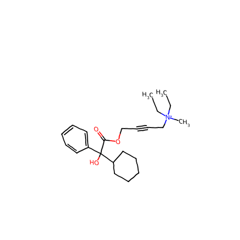 CC[N+](C)(CC)CC#CCOC(=O)C(O)(c1ccccc1)C1CCCCC1